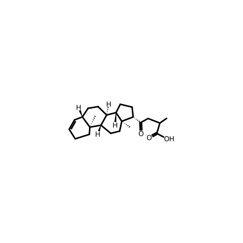 CC(CC(=O)[C@H]1CC[C@H]2[C@@H]3CC[C@H]4C=CCC[C@]4(C)[C@H]3CC[C@]12C)C(=O)O